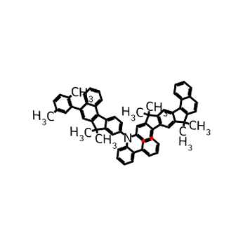 Cc1ccc(C)c(-c2cc3c(c4ccccc24)-c2ccc(N(c4ccc5c(c4)C(C)(C)c4cc6c(cc4-5)C(C)(C)c4ccc5ccccc5c4-6)c4ccccc4-c4ccccc4)cc2C3(C)C)c1